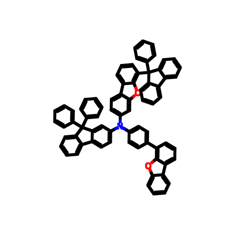 c1ccc(C2(c3ccccc3)c3ccccc3-c3ccc(N(c4ccc(-c5cccc6c5oc5ccccc56)cc4)c4ccc5c(c4)oc4c(C6(c7ccccc7)c7ccccc7-c7ccccc76)cccc45)cc32)cc1